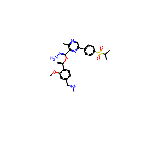 C=C(O/C(=N\N)c1nc(-c2ccc(S(=O)(=O)C(C)C)cc2)cnc1C)c1ccc(CNC)cc1OC